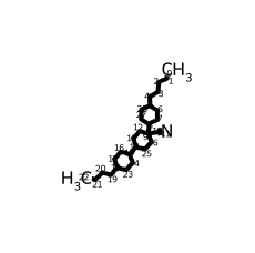 CCCCCC1CCC(C2(C#N)CCC(C3CCC(CCCC)CC3)CC2)CC1